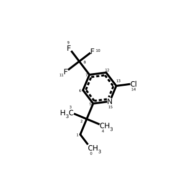 CCC(C)(C)c1cc(C(F)(F)F)cc(Cl)n1